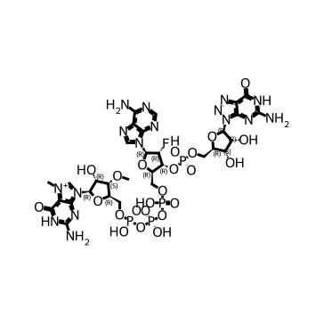 CO[C@H]1[C@@H](O)[C@H](n2c[n+](C)c3c(=O)[nH]c(N)nc32)O[C@@H]1COP(=O)(O)OP(=O)(O)OP(=O)(O)OC[C@H]1O[C@@H](n2cnc3c(N)ncnc32)[C@H](F)[C@@H]1OP(=O)(O)OC[C@H]1O[C@@H](n2nnc3c(=O)[nH]c(N)nc32)[C@H](O)[C@@H]1O